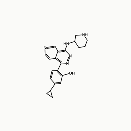 Oc1cc(C2CC2)ccc1-c1nnc(NC2CCCNC2)c2cnccc12